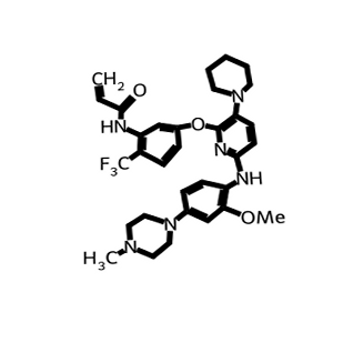 C=CC(=O)Nc1cc(Oc2nc(Nc3ccc(N4CCN(C)CC4)cc3OC)ccc2N2CCCCC2)ccc1C(F)(F)F